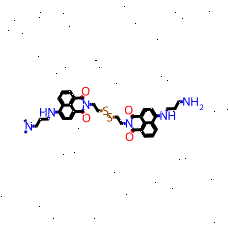 CN(C)CCCNc1ccc2c3c(cccc13)C(=O)N(CCSSCCN1C(=O)c3cccc4c(NCCCN)ccc(c34)C1=O)C2=O